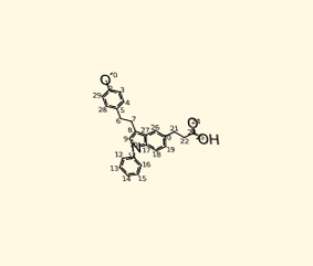 COc1ccc(CCc2cn(-c3ccccc3)c3ccc(CCC(=O)O)cc23)cc1